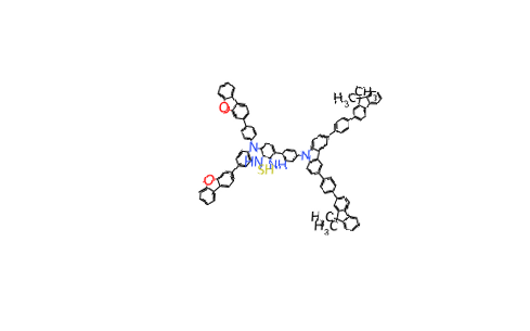 CC1(C)c2ccccc2-c2ccc(-c3ccc(-c4ccc5c(c4)c4cc(-c6ccc(-c7ccc8c(c7)C(C)(C)c7ccccc7-8)cc6)ccc4n5-c4ccc(C5=CC=C(N(c6ccc(-c7ccc8c(c7)oc7ccccc78)cc6)c6ccc(-c7ccc8c(c7)oc7ccccc78)cc6)C(NS)C5=N)cc4)cc3)cc21